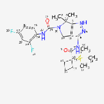 CC1(C)c2[nH]nc(NC(=O)C3(S(C)(C)C)CCC3)c2CN1C(=O)Nc1ccc(F)cc1F